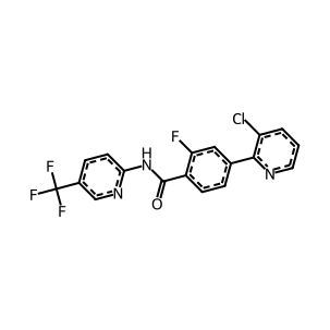 O=C(Nc1ccc(C(F)(F)F)cn1)c1ccc(-c2ncccc2Cl)cc1F